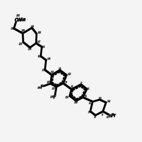 CCCC1CCC(c2ccc(-c3ccc(CCCCC4CCC(COC)CC4)c(F)c3F)cc2)CC1